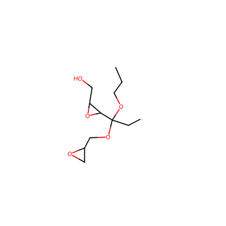 [CH2]CC(OCCC)(OCC1CO1)C1OC1CO